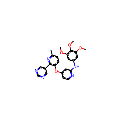 COc1cc(Nc2cc(Oc3ccc(C)nc3-c3cncnc3)ccn2)cc(OC)c1OC